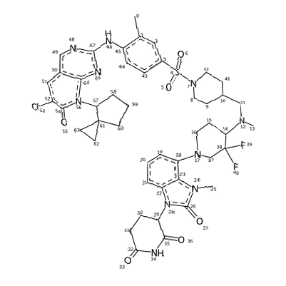 Cc1cc(S(=O)(=O)N2CCC(CN(C)C3CCN(c4cccc5c4n(C)c(=O)n5C4CCC(=O)NC4=O)CC3(F)F)CC2)ccc1Nc1ncc2cc(Cl)c(=O)n(C3CCCC34CC4)c2n1